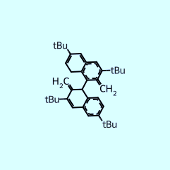 C=C1C(C(C)(C)C)=Cc2cc(C(C)(C)C)ccc2C1c1c2c(cc(C(C)(C)C)c1=C)=CC(C(C)(C)C)=CC2